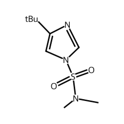 CN(C)S(=O)(=O)n1cnc(C(C)(C)C)c1